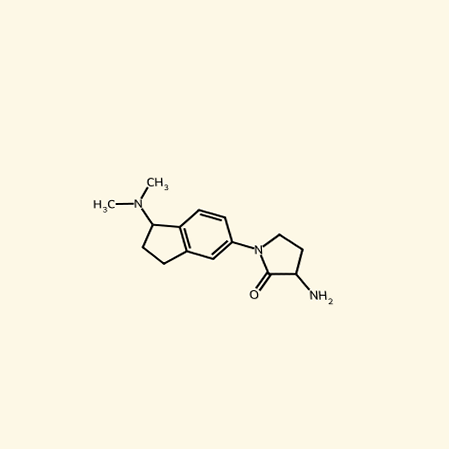 CN(C)C1CCc2cc(N3CCC(N)C3=O)ccc21